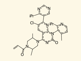 C=CC(=O)N1CC(C)N(c2nc(=O)n(-c3c(C)ccnc3C(C)C)c3nc(-c4cncnc4C(C)C)c(Cl)cc23)CC1C